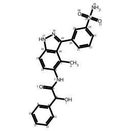 Cc1c(NC(=O)C(O)c2ccccc2)ccc2[nH]nc(-c3cccc(S(N)(=O)=O)c3)c12